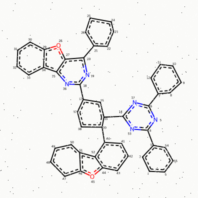 c1ccc(-c2nc(-c3ccccc3)nc(-c3cc(-c4nc(-c5ccccc5)c5oc6ccccc6c5n4)ccc3-c3cccc4oc5ccccc5c34)n2)cc1